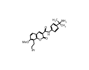 COc1ccc2cc(C(=O)Nc3ccc(C(C)(C)N)cc3)c(=O)oc2c1CCC(C)C